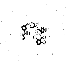 C=CC(=O)Nc1cccc(CN2CCC(NC(=O)c3n[nH]cc3NC(=O)c3c(Cl)cccc3OC)CC2)c1